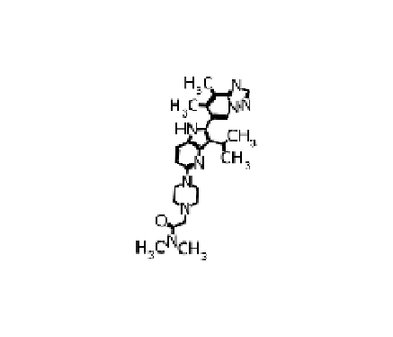 Cc1c(-c2[nH]c3ccc(N4CCN(CC(=O)N(C)C)CC4)nc3c2C(C)C)cn2ncnc2c1C